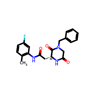 Cc1ccc(F)cc1NC(=O)C[C@H]1NC(=O)CN(Cc2ccccc2)C1=O